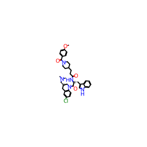 COc1ccc(C(=O)N2CCC(CCC(=O)N[C@H](Cc3c[nH]c4ccccc34)C(=O)N3C[C@H](CN(C)C)Cc4cc(Cl)ccc43)CC2)cc1